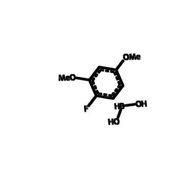 COc1ccc(F)c(OC)c1.OBO